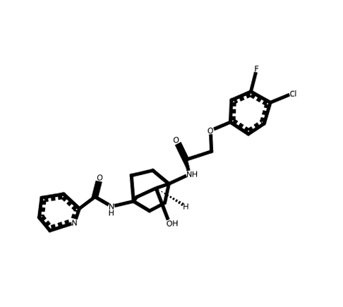 O=C(COc1ccc(Cl)c(F)c1)NC12CCC(NC(=O)c3ccccn3)(CC1)C[C@@H]2O